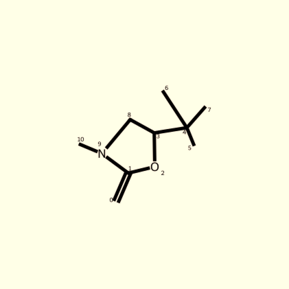 C=C1OC(C(C)(C)C)CN1C